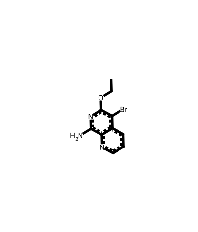 CCOc1nc(N)c2ncccc2c1Br